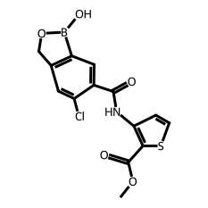 COC(=O)c1sccc1NC(=O)c1cc2c(cc1Cl)COB2O